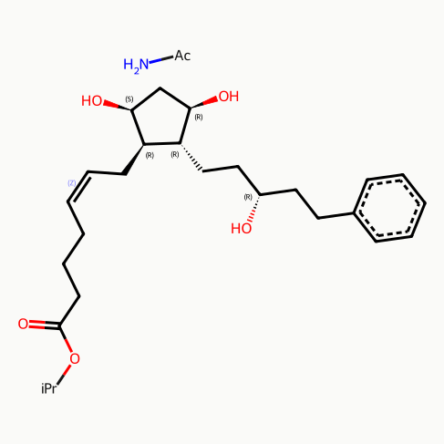 CC(C)OC(=O)CCC/C=C\C[C@@H]1[C@@H](CC[C@@H](O)CCc2ccccc2)[C@H](O)C[C@@H]1O.CC(N)=O